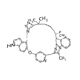 Cn1nc2nc1-c1cc(ccn1)Oc1ccc3[nH]ccc3c1Cn1cc(nn1)C(C)(C)CCCC(F)C2(C)c1ccccc1